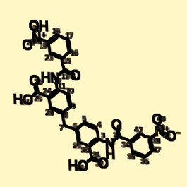 O=C(Nc1ccc(Cc2ccc(NC(=O)c3cccc([N+](=O)O)c3)c(C(=O)O)c2)cc1C(=O)O)c1cccc([N+](=O)[O-])c1